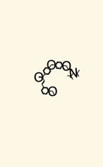 COc1cccc(/C=C/C(=O)c2ccc(Oc3ccc(OCCN(C(C)C)C(C)C)cc3)cc2)c1